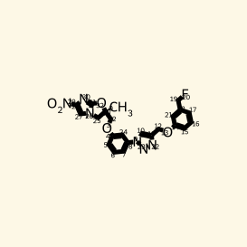 C[C@]1(COc2cccc(-n3cc(COc4cccc(CF)c4)nn3)c2)Cn2cc([N+](=O)[O-])nc2O1